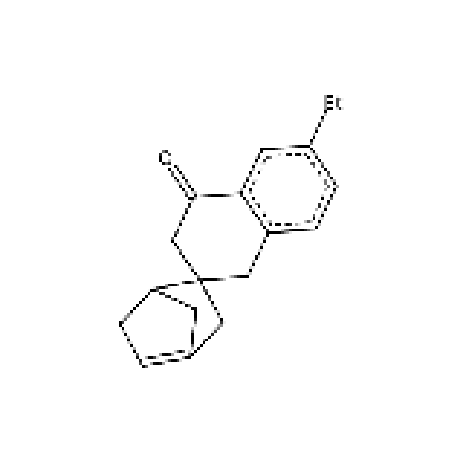 CCc1ccc2c(c1)C(=O)CC1(CC3=CCC1C3)C2